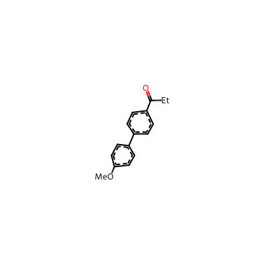 CCC(=O)c1ccc(-c2ccc(OC)cc2)cc1